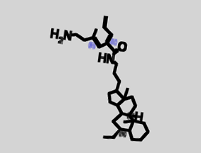 C=C/C=C(\C=C(/C)CCN)C(=O)NCCCC1CCC2C3C[C@H](CC)C4CCCCC4(C)[C@H]3CCC12C